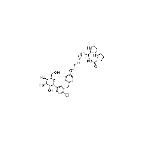 O=C(O)C1CCCN1.O=C(O)C1CCCN1.OCC1OC(c2ccc(Cl)c(Cc3ccc(OCCOC4CC4)cc3)c2)C(O)C(O)C1O